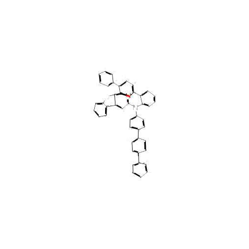 c1ccc(-c2ccc(-c3ccc(N(c4cc5c(cn4)oc4ccccc45)c4ccccc4-c4ccc(-c5ccccc5)cc4)cc3)cc2)cc1